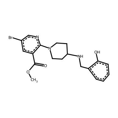 COC(=O)c1cc(Br)cnc1N1CCC(NCc2ccccc2O)CC1